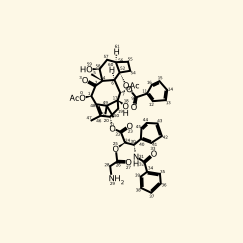 CC(=O)O[C@H]1C(=O)[C@@]2(C)[C@H]([C@H](OC(=O)c3ccccc3)[C@]3(O)C[C@H](OC(=O)[C@H](OC(=O)CN)[C@@H](NC(=O)c4ccccc4)c4ccccc4)C(C)=C1C3(C)C)[C@]1(OC(C)=O)CC[C@@H]1C[C@@H]2O